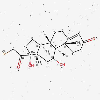 C[C@]12CCC(=O)C=C1CC[C@@H]1[C@@H]2C(O)C[C@@]2(C)[C@H]1CC[C@]2(O)C(=O)CBr